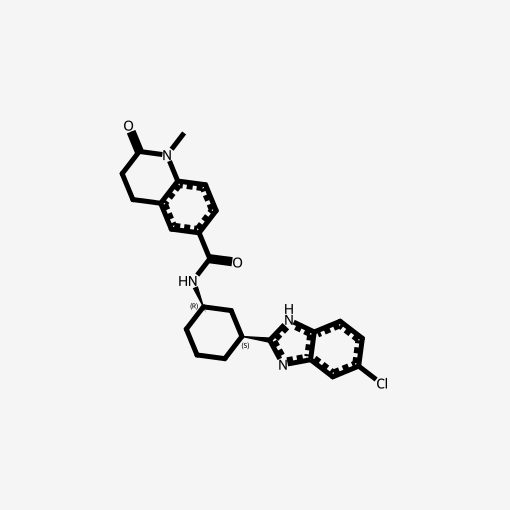 CN1C(=O)CCc2cc(C(=O)N[C@@H]3CCC[C@H](c4nc5cc(Cl)ccc5[nH]4)C3)ccc21